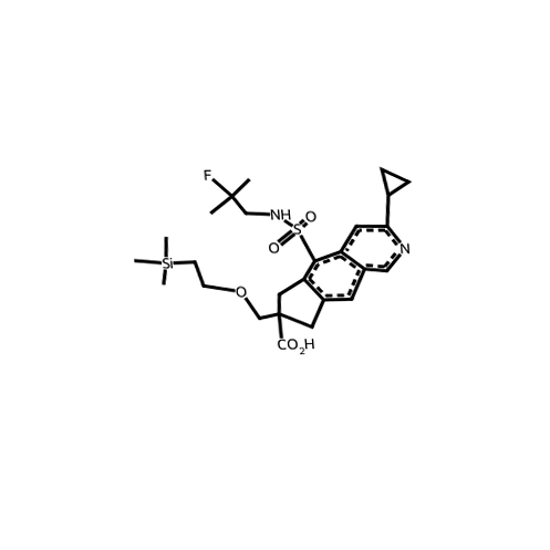 CC(C)(F)CNS(=O)(=O)c1c2c(cc3cnc(C4CC4)cc13)CC(COCC[Si](C)(C)C)(C(=O)O)C2